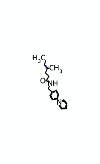 CC/C=C(\C)CCC(=O)NCc1ccc(-[n+]2ccccc2)cc1